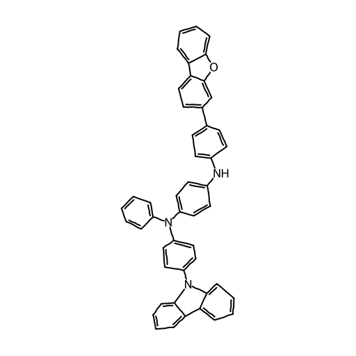 c1ccc(N(c2ccc(Nc3ccc(-c4ccc5c(c4)oc4ccccc45)cc3)cc2)c2ccc(-n3c4ccccc4c4ccccc43)cc2)cc1